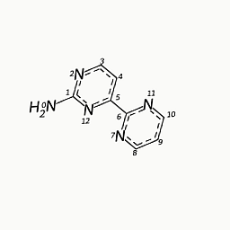 Nc1nccc(-c2ncccn2)n1